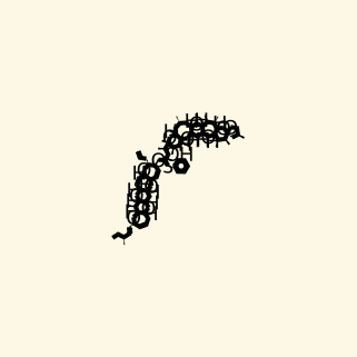 C=CC[C@H]1O[C@H]2C=C[C@H]3O[C@H]4[C@H](C)[C@H]5O[C@@H](/C=C/[C@H](C)CC)C=CC[C@@H]5O[C@@H]4C[C@@H]3O[C@@H]2C=C[C@@H]1OC(C[C@@H](C)[C@]1(C)O[C@@H]2C[C@H](C)C[C@@H]3O[C@@H]4[C@@H](C)[C@H](C)[C@@H]5O[C@]6(C[C@H](C)CO6)[C@@H](C)[C@H](C)[C@H]5O[C@H]4C[C@H]3O[C@H]2C[C@H]1O)Sc1ccccc1